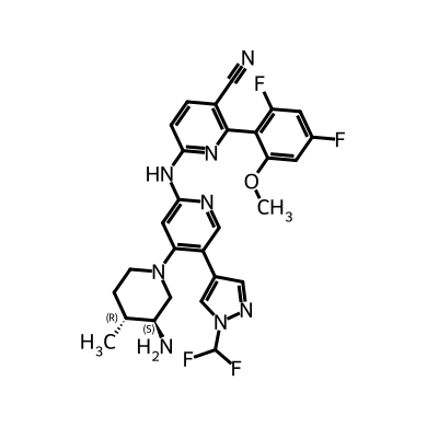 COc1cc(F)cc(F)c1-c1nc(Nc2cc(N3CC[C@@H](C)[C@H](N)C3)c(-c3cnn(C(F)F)c3)cn2)ccc1C#N